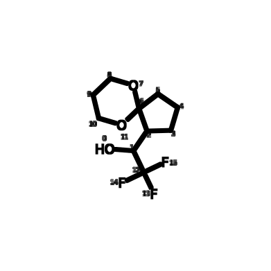 OC(C1CCCC12OCCCO2)C(F)(F)F